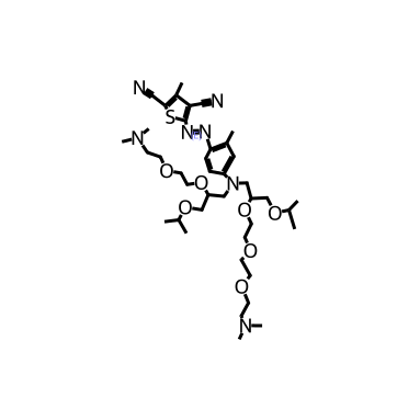 Cc1cc(N(CC(COC(C)C)OCCOCCOCCN(C)C)CC(COC(C)C)OCCOCCN(C)C)ccc1/N=N/c1sc(C#N)c(C)c1C#N